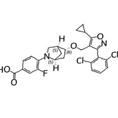 O=C(O)c1ccc(N2C[C@@H]3C[C@H]2C[C@H]3OCc2c(-c3c(Cl)cccc3Cl)noc2C2CC2)c(F)c1